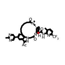 CC(=O)c1nn2c3c(cc(-c4cnc(C)nc4)cc13)CCCCCC(=O)N(C)C[C@]13C4C1[C@H]3N(C(=O)C2)[C@@H]4C(=O)Nc1nc(C(F)(F)F)ccc1C